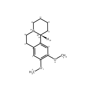 COc1cc2c(cc1OC)[C@H]1CCCCN1CC2